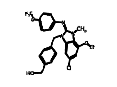 CCOc1cc(Cl)cc2c1n(C)/c(=N/c1ccc(OC(F)(F)F)cc1)n2Cc1ccc(CO)cc1